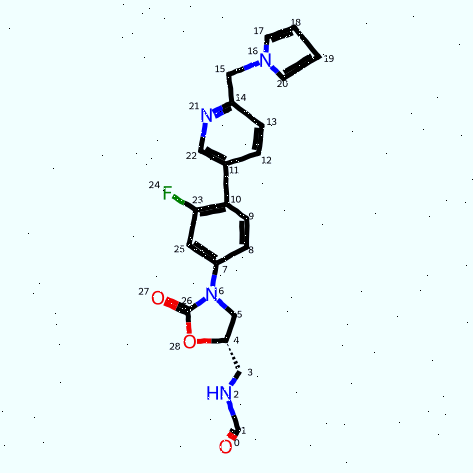 O=CNC[C@H]1CN(c2ccc(-c3ccc(Cn4cccc4)nc3)c(F)c2)C(=O)O1